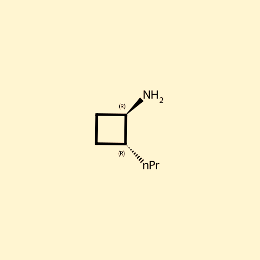 CCC[C@@H]1CC[C@H]1N